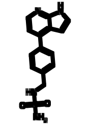 NS(=O)(=O)NCc1ccc(-c2ccnc3[nH]ccc23)cc1